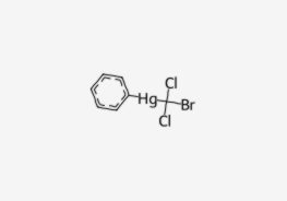 Cl[C](Cl)(Br)[Hg][c]1ccccc1